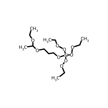 CCOO[Si](OCCCOC(C)OCC)(OOCC)OOCC